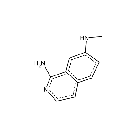 CNc1ccc2ccnc(N)c2c1